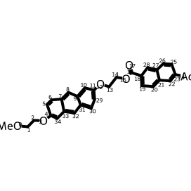 COCCOc1ccc2cc3cc(OCCOC(=O)c4ccc5cc(C(C)=O)ccc5c4)ccc3cc2c1